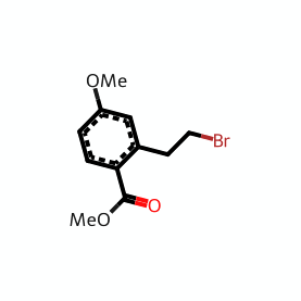 COC(=O)c1ccc(OC)cc1CCBr